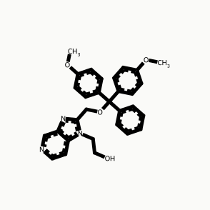 COc1ccc(C(OCc2nc3cnccc3n2CCO)(c2ccccc2)c2ccc(OC)cc2)cc1